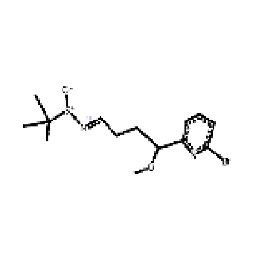 COC(CC/C=N/[S+]([O-])C(C)(C)C)c1cccc(Br)n1